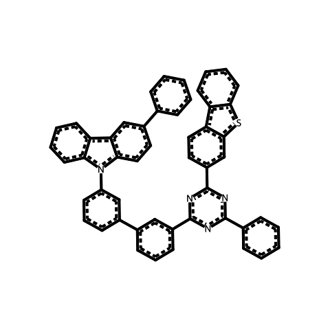 c1ccc(-c2ccc3c(c2)c2ccccc2n3-c2cccc(-c3cccc(-c4nc(-c5ccccc5)nc(-c5ccc6c(c5)sc5ccccc56)n4)c3)c2)cc1